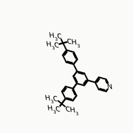 CC(C)(C)c1ccc(-c2cc(-c3ccncc3)cc(-c3ccc(C(C)(C)C)cc3)c2)cc1